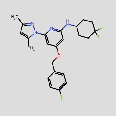 Cc1cc(C)n(-c2cc(OCc3ccc(F)cc3)cc(NC3CCC(F)(F)CC3)n2)n1